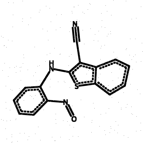 N#Cc1c(Nc2ccccc2N=O)sc2ccccc12